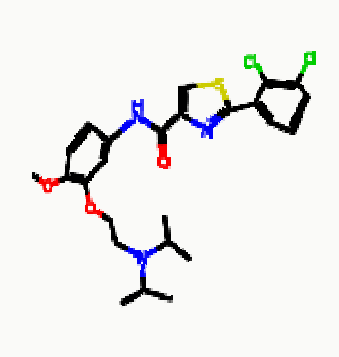 COc1ccc(NC(=O)c2csc(-c3cccc(Cl)c3Cl)n2)cc1OCCN(C(C)C)C(C)C